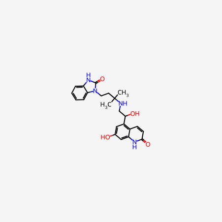 CC(C)(CCn1c(=O)[nH]c2ccccc21)NCC(O)c1cc(O)cc2[nH]c(=O)ccc12